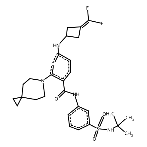 CC(C)(C)NS(=O)(=O)c1cccc(NC(=O)c2ccc(NC3CC(=C(F)F)C3)cc2N2CCC3(CC2)CC3)c1